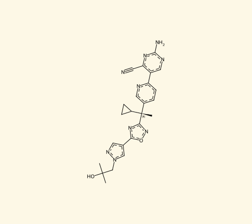 CC(C)(O)Cn1cc(-c2nc([C@@](C)(c3ccc(-c4cnc(N)nc4C#N)nc3)C3CC3)no2)cn1